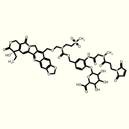 CC[C@@]1(O)C(=O)OCc2c1cc1n(c2=O)Cc2c-1nc1cc3c(cc1c2COCN(CCS(C)(=O)=O)C(=O)OCc1ccc(OC2OC(C(=O)O)C(O)C(O)C2O)c(NC(=O)CN(C)C(=O)CCN2C(=O)C=CC2=O)c1)OCO3